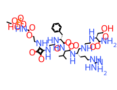 CCOP(=O)(O)ONC(=O)OCCNc1c(NCC(=O)N[C@H](Cc2ccccc2)C(=O)N[C@H](C(=O)N[C@@H](CCCNC(=N)N)C(=O)NCC(=O)N[C@@H](CC(=O)O)C(N)=O)C(C)C)c(=O)c1=O